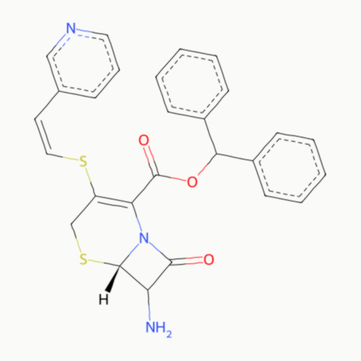 NC1C(=O)N2C(C(=O)OC(c3ccccc3)c3ccccc3)=C(S/C=C\c3cccnc3)CS[C@@H]12